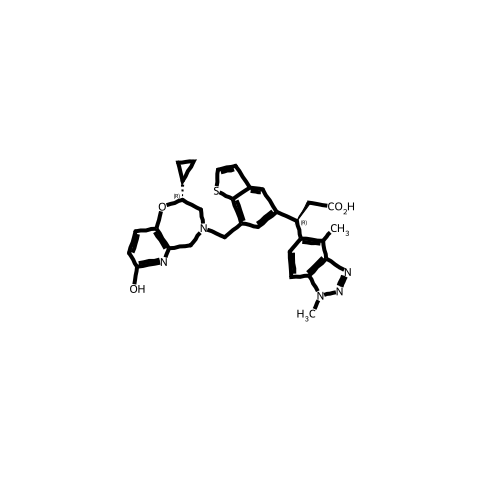 Cc1c([C@H](CC(=O)O)c2cc(CN3Cc4nc(O)ccc4O[C@H](C4CC4)C3)c3sccc3c2)ccc2c1nnn2C